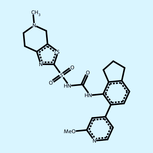 COc1cc(-c2ccc3c(c2NC(=O)NS(=O)(=O)c2nc4c(s2)CN(C)CC4)CCC3)ccn1